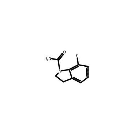 NC(=O)N1CCc2cccc(F)c21